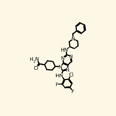 NC(=O)C1CCC(n2c(Nc3c(F)cc(F)cc3Cl)nc3cnc(N[C@@H]4CCCN(Cc5ccccc5)C4)nc32)CC1